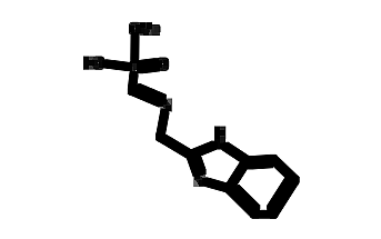 COP(=O)(O)C=NCc1nc2ccccc2[nH]1